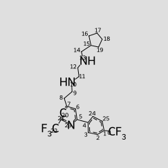 FC(F)(F)c1ccc(-c2cc(CCNCCNCC3CCCC3)cc(C(F)(F)F)n2)cc1